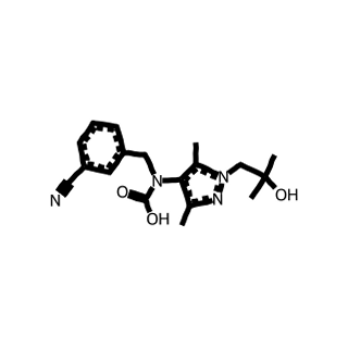 Cc1nn(CC(C)(C)O)c(C)c1N(Cc1cccc(C#N)c1)C(=O)O